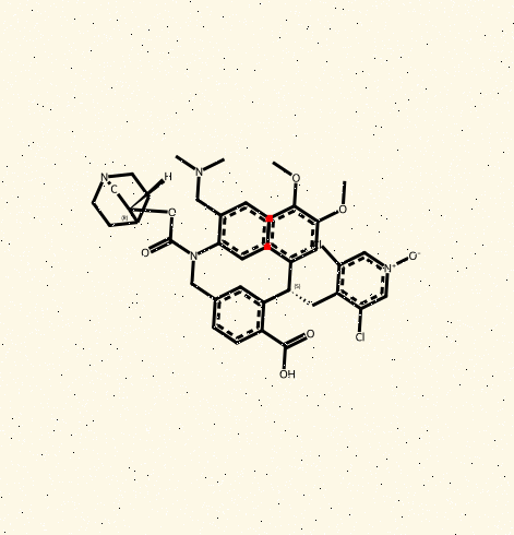 COc1ccc([C@H](Cc2c(Cl)c[n+]([O-])cc2Cl)c2cc(CN(C(=O)O[C@H]3CN4CCC3CC4)c3ccccc3CN(C)C)ccc2C(=O)O)cc1OC